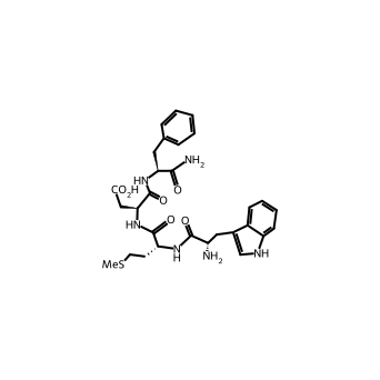 CSCC[C@@H](NC(=O)[C@@H](N)Cc1c[nH]c2ccccc12)C(=O)N[C@@H](CC(=O)O)C(=O)N[C@@H](Cc1ccccc1)C(N)=O